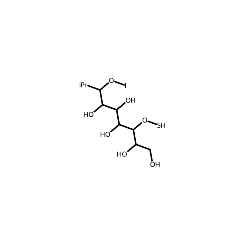 CC(C)C(OI)C(O)C(O)C(O)C(OS)C(O)CO